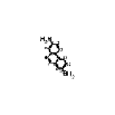 Bc1ccc2c(ccc3cc(B)ccc32)c1